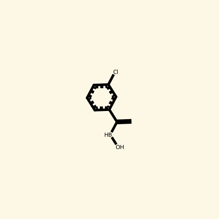 C=C(BO)c1cccc(Cl)c1